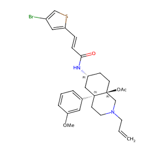 C=CCN1CC[C@@]2(c3cccc(OC)c3)C[C@H](NC(=O)C=Cc3cc(Br)cs3)CC[C@]2(OC(C)=O)C1